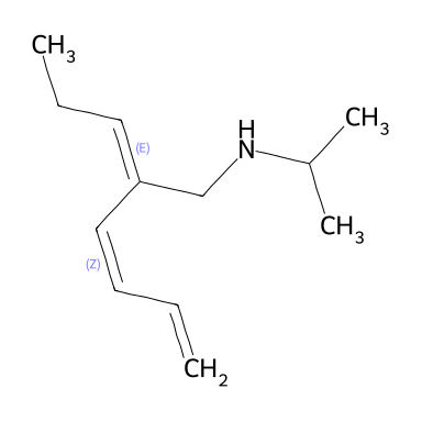 C=C/C=C\C(=C/CC)CNC(C)C